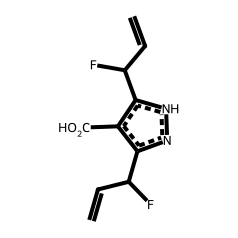 C=CC(F)c1n[nH]c(C(F)C=C)c1C(=O)O